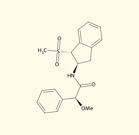 CO[C@H](C(=O)N[C@@H]1Cc2ccccc2[C@H]1S(C)(=O)=O)c1ccccc1